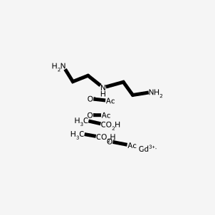 CC(=O)O.CC(=O)O.CC(=O)[O-].CC(=O)[O-].CC(=O)[O-].NCCNCCN.[Gd+3]